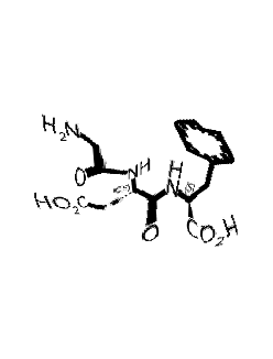 NCC(=O)N[C@@H](CC(=O)O)C(=O)N[C@@H](Cc1ccccc1)C(=O)O